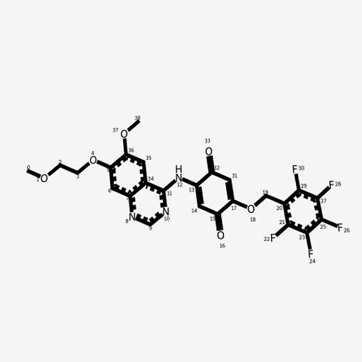 COCCOc1cc2ncnc(NC3=CC(=O)C(OCc4c(F)c(F)c(F)c(F)c4F)=CC3=O)c2cc1OC